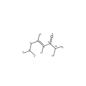 CC(CC(C)C)=C(C)C(=O)C(C)C